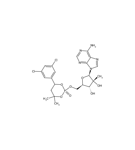 CC1(C)CC(c2cc(Cl)cc(Cl)c2)OP(=O)(OC[C@H]2O[C@@H](n3cnc4c(N)ncnc43)[C@](C)(O)[C@@H]2O)O1